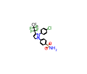 NS(=O)(=O)c1ccc(N2CC=C(C(F)(F)C(F)(F)C(F)(F)F)N2c2ccc(Cl)cc2)cc1